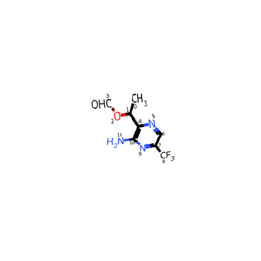 CC(OC=O)c1ncc(C(F)(F)F)nc1N